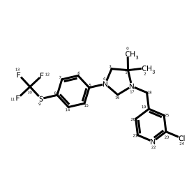 CC1(C)CN(c2ccc(SC(F)(F)F)cc2)CN1Cc1ccnc(Cl)c1